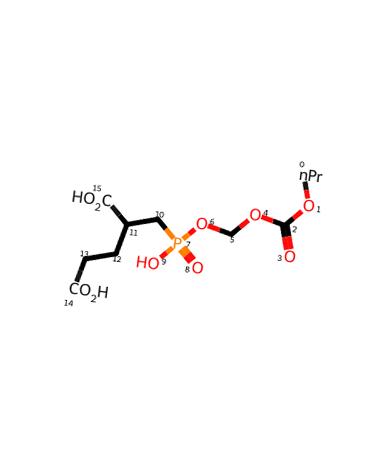 CCCOC(=O)OCOP(=O)(O)CC(CCC(=O)O)C(=O)O